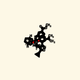 COC(=O)c1cc(OC(C)C)c2nc(OC3[C@@H]4CC[C@H]3CC(OCc3c(-c5ccccc5OC(F)(F)F)noc3C3CC3)C4)sc2c1